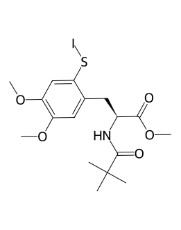 COC(=O)[C@H](Cc1cc(OC)c(OC)cc1SI)NC(=O)C(C)(C)C